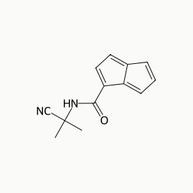 CC(C)(C#N)NC(=O)C1=CC=C2C=CC=C21